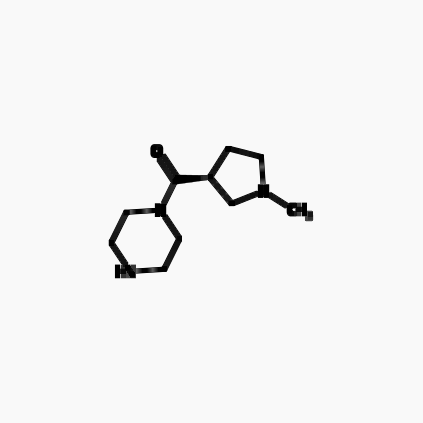 CN1CC[C@H](C(=O)N2CCNCC2)C1